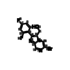 OCc1c(-c2ccc(F)cc2F)nc2cnc(Br)cn12